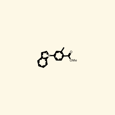 COC(=O)c1ccc(-n2ccc3ccccc32)cc1C